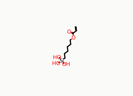 C=CC(=O)OCCCCCC[Si](O)(O)O